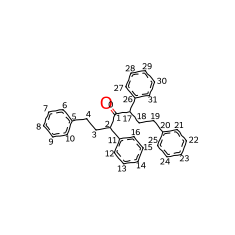 O=C(C(CCc1ccccc1)c1ccccc1)C(CCc1ccccc1)c1ccccc1